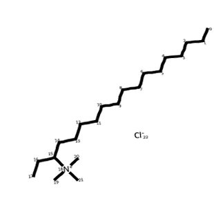 CCCCCCCCCCCCCCCC(CC)[N+](C)(C)C.[Cl-]